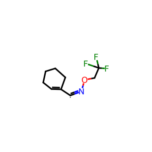 FC(F)(F)CO/N=[C]\C1=CCCCC1